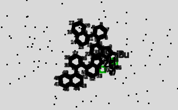 CCC(C)C1=Cc2c(-c3ccccc3-c3cccc4ccccc34)cccc2[CH]1[Zr]([Cl])([Cl])([CH]1C(C(C)CC)=Cc2c(-c3ccccc3-c3cccc4ccccc34)cccc21)[SiH](C)C